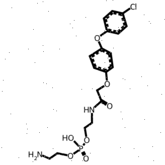 NCCOP(=O)(O)OCCNC(=O)COc1ccc(Oc2ccc(Cl)cc2)cc1